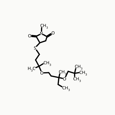 CCC(C)(CCOC(C)(C)CCSC1CC(=O)N(C)C1=O)OCC(C)(C)C